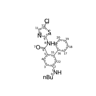 CCCCNc1ccc(C(=O)Nc2ncc(Cl)s2)c(-c2ccccc2)c1